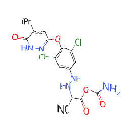 CC(C)c1cc(Oc2c(Cl)cc(NNC(C#N)C(=O)OC(N)=O)cc2Cl)n[nH]c1=O